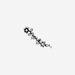 CN1CCN(CC(=O)NCNCCOC(=O)C(=O)c2ccccc2)CC1